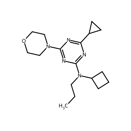 CCCN(c1nc(C2CC2)nc(N2CCOCC2)n1)C1CCC1